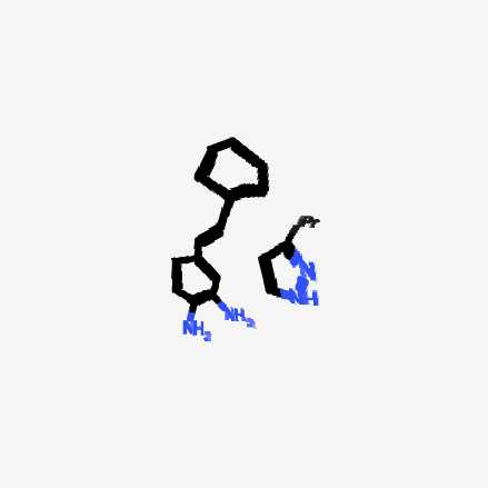 CC(C)c1cc[nH]n1.Nc1ccc(C=Cc2ccccc2)cc1N